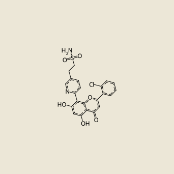 NS(=O)(=O)CCc1ccc(-c2c(O)cc(O)c3c(=O)cc(-c4ccccc4Cl)oc23)nc1